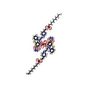 CCCCCCCCCCC(=O)OCCC1CCN(CCCN2c3ccccc3Sc3cc(S(=O)(=O)N(C)C)cc(OC(=O)C(=O)Oc4cc(S(=O)(=O)N(C)C)cc5c4N(CCCN4CCC(CCOC(=O)CCCCCCCCCC)CC4)c4ccccc4S5)c32)CC1